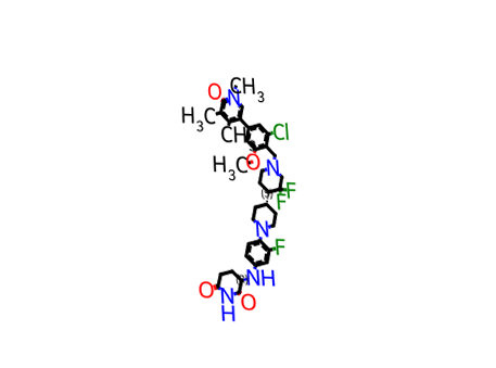 COc1cc(-c2cn(C)c(=O)c(C)c2C)cc(Cl)c1CN1CC[C@@H](C2CCN(c3ccc(N[C@@H]4CCC(=O)NC4=O)cc3F)CC2)C(F)(F)C1